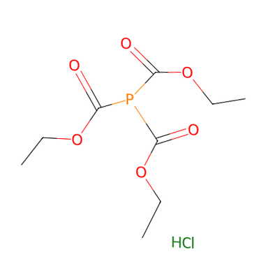 CCOC(=O)P(C(=O)OCC)C(=O)OCC.Cl